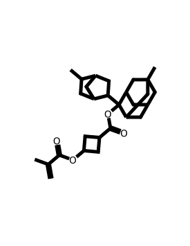 C=C(C)C(=O)OC1CC(C(=O)OC2(C3CC4CC3CC4C)C3CC4CC2CC(C)(C4)C3)C1